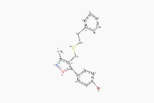 Cc1noc(-c2ccc(Br)cc2)c1CSCCc1ccccc1